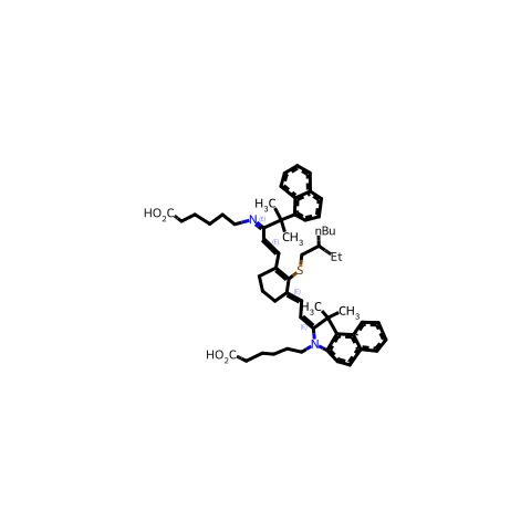 CCCCC(CC)CSC1=C(/C=C/C(=N\CCCCCC(=O)O)C(C)(C)c2cccc3ccccc23)CCC/C1=C\C=C1\N(CCCCCC(=O)O)c2ccc3ccccc3c2C1(C)C